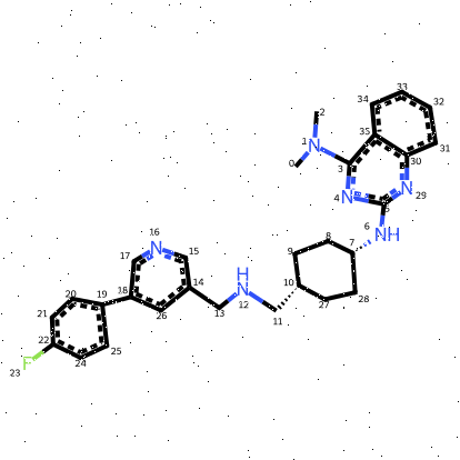 CN(C)c1nc(N[C@H]2CC[C@@H](CNCc3cncc(-c4ccc(F)cc4)c3)CC2)nc2ccccc12